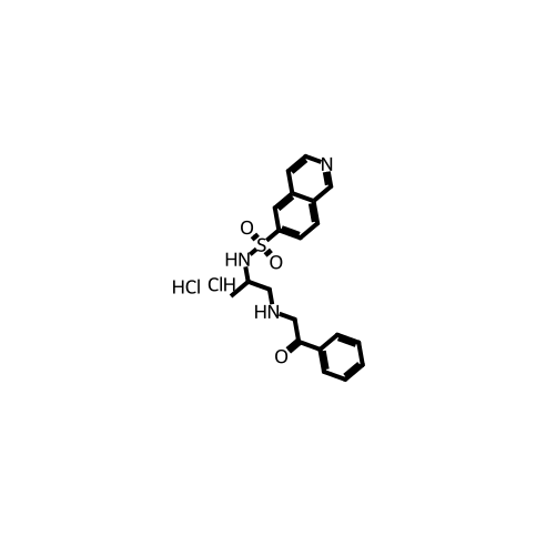 CC(CNCC(=O)c1ccccc1)NS(=O)(=O)c1ccc2cnccc2c1.Cl.Cl